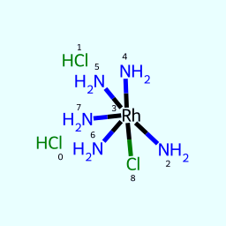 Cl.Cl.[NH2][Rh]([NH2])([NH2])([NH2])([NH2])[Cl]